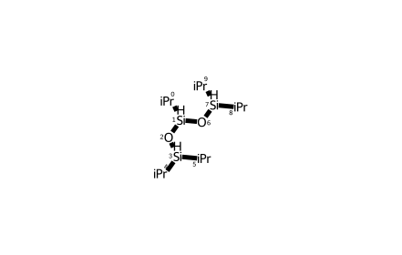 CC(C)[SiH](O[SiH](C(C)C)C(C)C)O[SiH](C(C)C)C(C)C